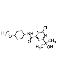 COC1CCC(NC(=O)c2cc(C(C)(C)O)nc(Cl)n2)CC1